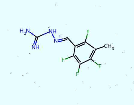 Cc1c(F)c(F)c(F)c(/C=N/NC(=N)N)c1F